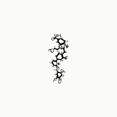 COCCn1c(Cc2ccc(-c3cccc(OCc4cc(F)c(Cl)cc4OC)n3)cc2F)nc2ccc(C(=O)O)cc21